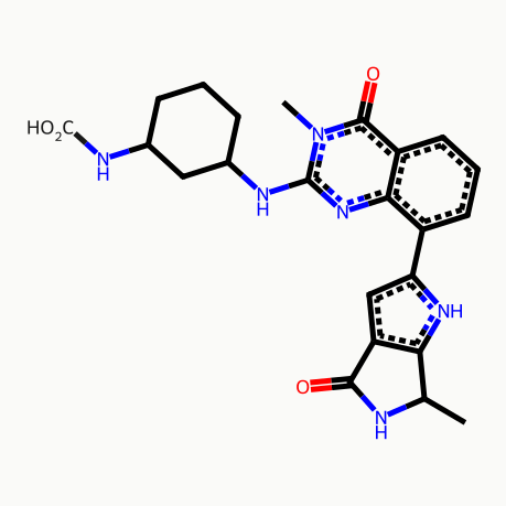 CC1NC(=O)c2cc(-c3cccc4c(=O)n(C)c(NC5CCCC(NC(=O)O)C5)nc34)[nH]c21